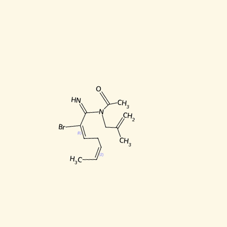 C=C(C)CN(C(=N)/C(Br)=C\C/C=C\C)C(C)=O